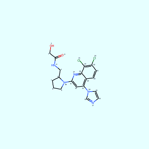 O=C(CO)NCC1CCCN1c1cc(-n2ccnc2)c2ccc(Cl)c(Cl)c2n1